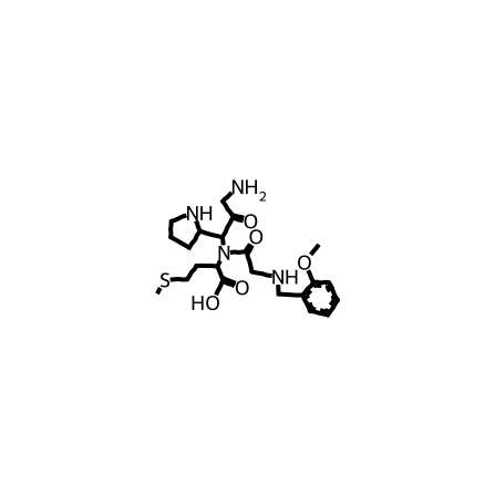 COc1ccccc1CNCC(=O)N(C(CCSC)C(=O)O)C(C(=O)CN)C1CCCN1